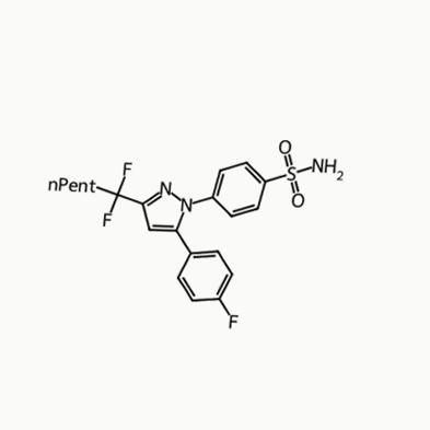 C[CH]CCCC(F)(F)c1cc(-c2ccc(F)cc2)n(-c2ccc(S(N)(=O)=O)cc2)n1